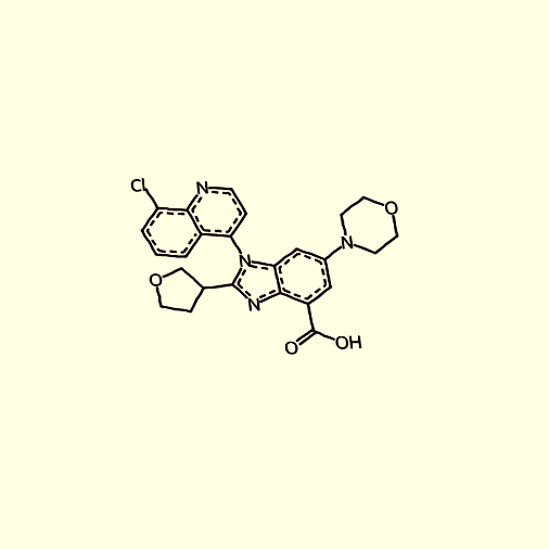 O=C(O)c1cc(N2CCOCC2)cc2c1nc(C1CCOC1)n2-c1ccnc2c(Cl)cccc12